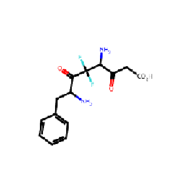 NC(Cc1ccccc1)C(=O)C(F)(F)C(N)C(=O)CC(=O)O